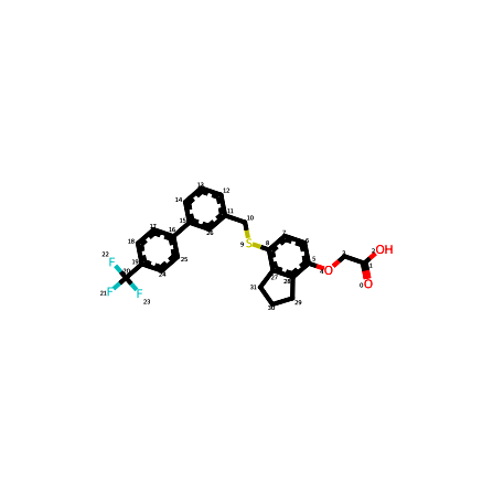 O=C(O)COc1ccc(SCc2cccc(-c3ccc(C(F)(F)F)cc3)c2)c2c1CCC2